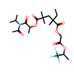 CCC(C)(CC(C)(C)C(=O)OC(C)C(=O)N(C(C)=O)C(C)C)C(=O)OCC(=O)OC(C)C(F)(F)F